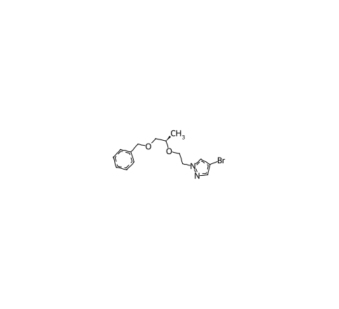 C[C@H](COCc1ccccc1)OCCn1cc(Br)cn1